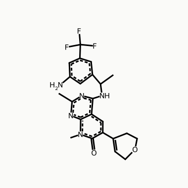 Cc1nc(NC(C)c2cc(N)cc(C(F)(F)F)c2)c2cc(C3=CCOCC3)c(=O)n(C)c2n1